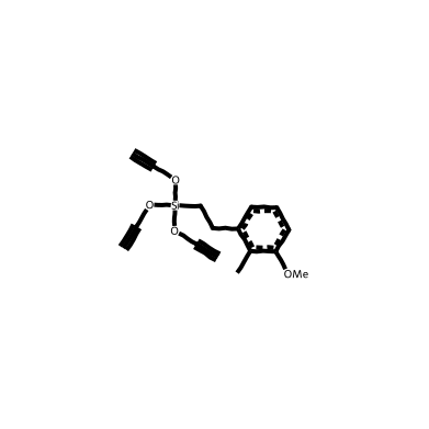 C#CO[Si](CCc1cccc(OC)c1C)(OC#C)OC#C